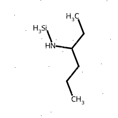 CCCC(CC)N[SiH3]